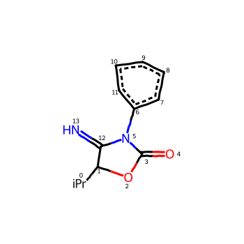 CC(C)C1OC(=O)N(c2ccccc2)C1=N